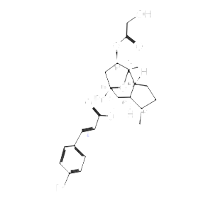 CC(C)[C@@]12C[C@@H](OC(=O)CO)[C@@](C)(O1)[C@@H]1CC[C@@H](C)[C@H]1[C@@H]2OC(=O)/C=C/c1ccc(Br)cc1